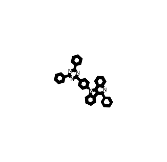 C1=CCC(c2nc3ccccc3c3c2c2ccccc2n3-c2ccc(-c3nc(-c4ccccc4)nc(-c4ccccc4)n3)cc2)C=C1